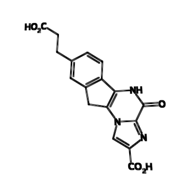 O=C(O)CCc1ccc2c(c1)Cc1c-2[nH]c(=O)c2nc(C(=O)O)cn12